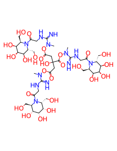 CN(OC(=O)CC(O)(CC(=O)ON(C)C(=N)NCC(=O)N1[C@H](CO)[C@H](O)[C@H](O)[C@H](O)[C@H]1CO)C(=O)ON(C)C(=N)NCC(=O)N1[C@H](CO)[C@H](O)[C@H](O)[C@H](O)[C@H]1CO)C(=N)NCC(=O)N1[C@H](CO)[C@H](O)[C@H](O)[C@H](O)[C@H]1CO